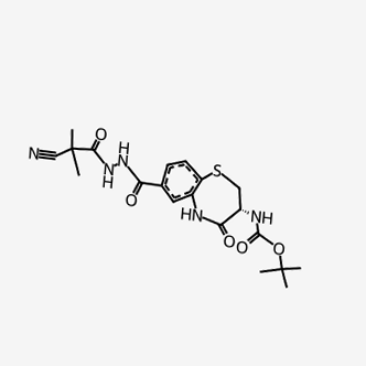 CC(C)(C)OC(=O)N[C@H]1CSc2ccc(C(=O)NNC(=O)C(C)(C)C#N)cc2NC1=O